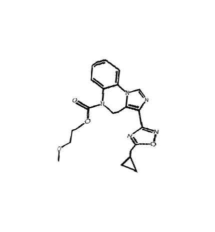 COCCOC(=O)N1Cc2c(-c3noc(C4CC4)n3)ncn2-c2ccccc21